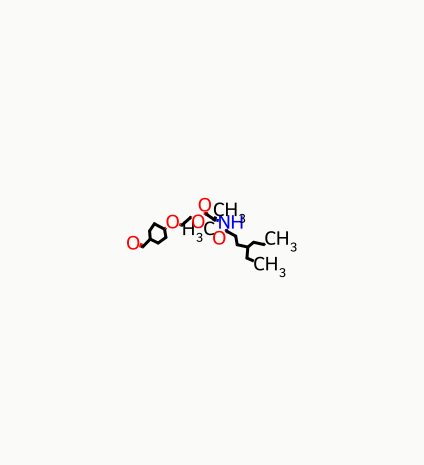 CCCC(CC)CCC(=O)NC(C)(C)C(=O)OCCOC1CCC(C=O)CC1